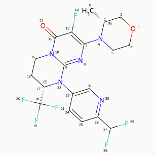 C[C@@H]1COCCN1c1nc2n(c(=O)c1F)CC[C@@H](C(F)(F)F)N2c1ccc(C(F)F)nc1